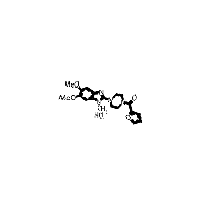 COc1cc2nc(N3CCN(C(=O)c4ccco4)CC3)n(C)c2cc1OC.Cl